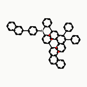 c1ccc(-c2c(-c3ccccc3)c3cc(-c4ccccc4N(c4ccc(-c5ccc6ccccc6c5)cc4)c4ccc(-c5ccc6c(ccc7ccccc76)c5)cc4)ccc3c3ccccc23)cc1